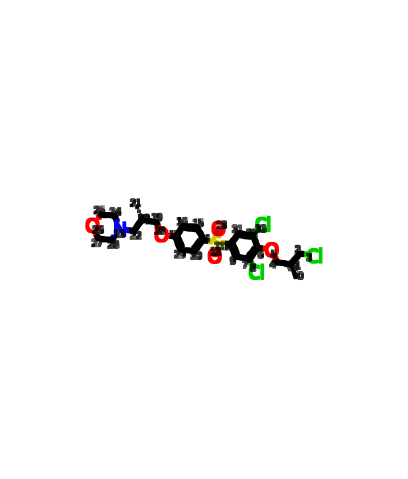 C[C@H](CCl)COc1c(Cl)cc(S(=O)(=O)c2ccc(OC[C@@H](C)CN3CCOCC3)cc2)cc1Cl